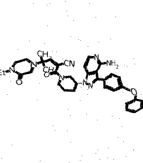 CCN1CCN(C(C)(C)/C=C(/C#N)C(=O)N2CCC[C@@H](n3nc(-c4ccc(Oc5ccccc5)cc4)c4c(N)nccc43)C2)CC1=O